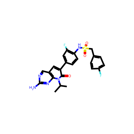 CC(C)n1c(=O)c(-c2ccc(NS(=O)(=O)Cc3ccc(F)cc3)c(F)c2)cc2cnc(N)nc21